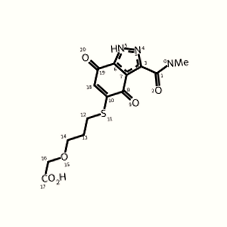 CNC(=O)c1n[nH]c2c1C(=O)C(SCCCOCC(=O)O)=CC2=O